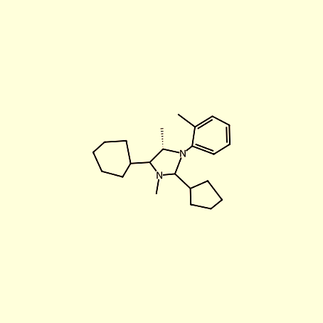 Cc1ccccc1N1C(C2CCCC2)N(C)C(C2CCCCC2)[C@@H]1C